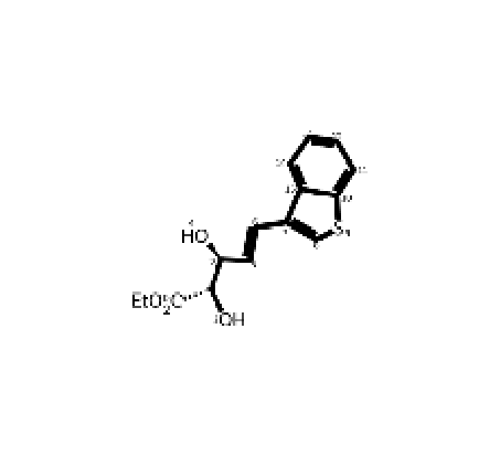 CCOC(=O)[C@@H](O)[C@@H](O)/C=C/c1csc2ccccc12